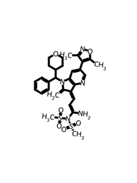 C=c1/c(=C\C=C(/N)N(S(C)(=O)=O)S(C)(=O)=O)c2ncc(-c3c(C)noc3C)cc2n1C(c1ccccc1)C1CCOCC1